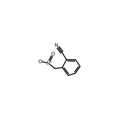 N#Cc1ccccc1C[N+](=O)[O-]